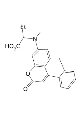 CCC(C(=O)O)N(C)c1ccc2c(-c3ccccc3C)cc(=O)oc2c1